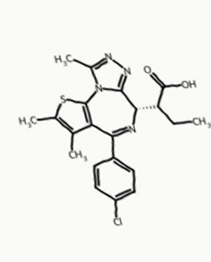 CCC(C(=O)O)[C@@H]1N=C(c2ccc(Cl)cc2)c2c(sc(C)c2C)-n2c(C)nnc21